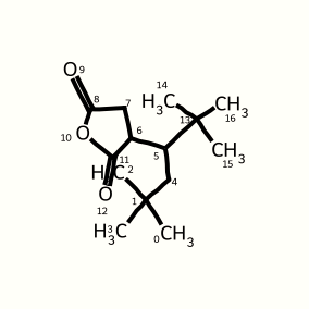 CC(C)(C)CC(C1CC(=O)OC1=O)C(C)(C)C